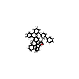 c1ccc(-c2ccc(-c3cccc(-c4ccccc4-c4cccc5c4Oc4ccccc4C54c5ccccc5-c5ccccc54)c3)cn2)cc1